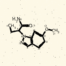 CCC(C(N)=O)n1ncc2ccc(OC)cc21